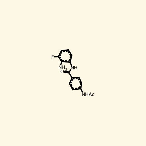 CC(=O)Nc1ccc(C(=O)Nc2cccc(F)c2N)cc1